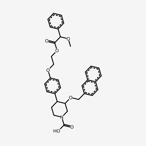 COC(C(=O)OCCOc1ccc(C2CCN(C(=O)O)CC2OCc2ccc3ccccc3c2)cc1)c1ccccc1